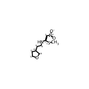 CSC(=C[N+](=O)[O-])NCCC1CCOC1